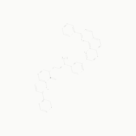 C=c1/c(=C\C=C(/N)c2cccc(-c3ccc4ccc5ccc(-c6ccccc6)nc5c4n3)c2)ccc2ccc(C3=CC=CCC3)nc12